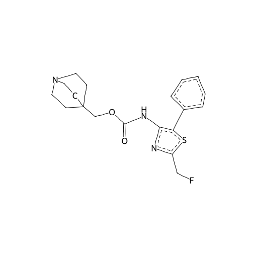 O=C(Nc1nc(CF)sc1-c1ccccc1)OCC12CCN(CC1)CC2